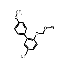 CCOCOc1ccc(C#N)cc1-c1ccc(OC(F)(F)F)cc1